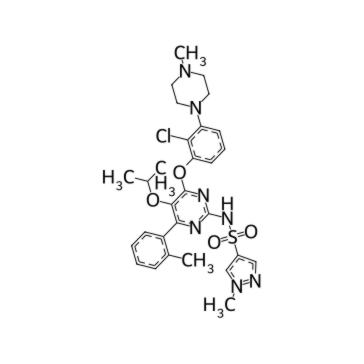 Cc1ccccc1-c1nc(NS(=O)(=O)c2cnn(C)c2)nc(Oc2cccc(N3CCN(C)CC3)c2Cl)c1OC(C)C